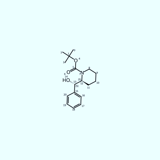 CC(C)(C)OC(=O)N1CCCC[C@H]1[C@@H](O)c1ccccc1